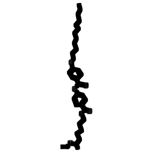 CCCCCCCCCCCCOc1ccc(C(=O)Oc2ccc(C(=O)OCCCCCC(C)OCC)cc2)cc1